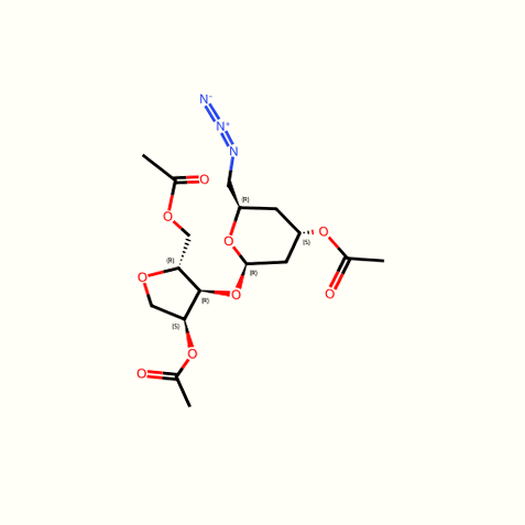 CC(=O)OC[C@H]1OC[C@H](OC(C)=O)[C@@H]1O[C@@H]1C[C@@H](OC(C)=O)C[C@H](CN=[N+]=[N-])O1